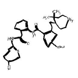 CC(C)(C)c1ccc(C(=O)Nc2ccccc2C(=O)Nc2ccc(Cl)cn2)c(C[C@@H]2CCNCC2(C)C)c1